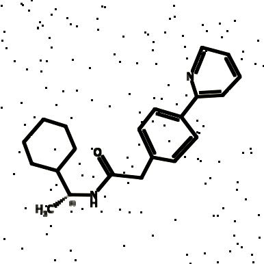 C[C@@H](NC(=O)Cc1ccc(-c2ccccn2)cc1)C1CCCCC1